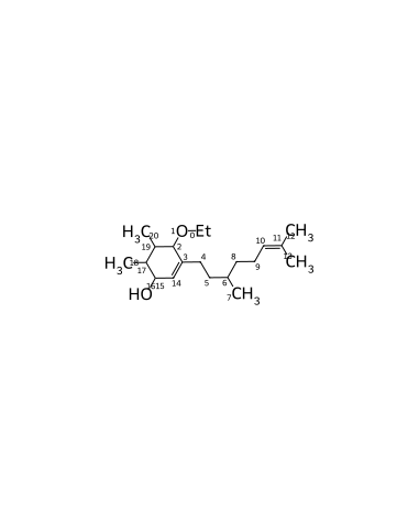 CCOC1C(CCC(C)CCC=C(C)C)=CC(O)C(C)C1C